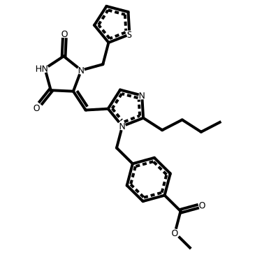 CCCCc1ncc(/C=C2/C(=O)NC(=O)N2Cc2cccs2)n1Cc1ccc(C(=O)OC)cc1